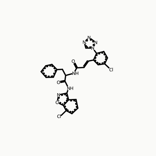 O=C(C=Cc1cc(Cl)ccc1-n1cnnn1)NC(Cc1ccccc1)C(=O)Nc1noc2c(Cl)cccc12